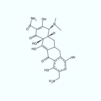 CCCc1cc(CN)c(O)c2c1CC1C[C@H]3[C@H](N(C)C)C(O)=C(C(N)=O)C(=O)[C@@]3(O)C(O)=C1C2=O